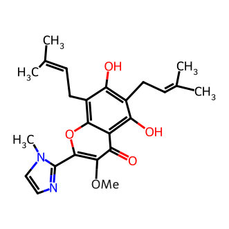 COc1c(-c2nccn2C)oc2c(CC=C(C)C)c(O)c(CC=C(C)C)c(O)c2c1=O